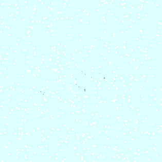 CSNc1ccc(C(F)(F)F)cc1C(=O)NC12CCC(C#N)(CC1)C2